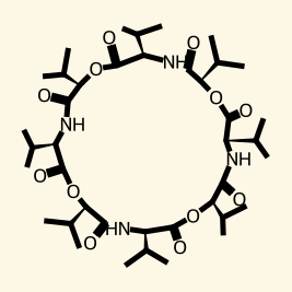 CC(C)[C@H]1NC(=O)[C@@H](C(C)C)OC(=O)[C@@H](C(C)C)NC(=O)[C@@H](C(C)C)OC(=O)[C@@H](C(C)C)NC(=O)[C@@H](C(C)C)OC(=O)[C@@H](C(C)C)NC(=O)[C@@H](C(C)C)OC1=O